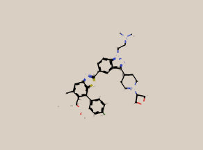 Cc1cc2nc(-c3ccc4c(c3)c(C3CCN(C5COC5)CC3)nn4CCN(C)C)sc2c(-c2ccc(Cl)cc2)c1[C@H](OC(C)(C)C)C(=O)O